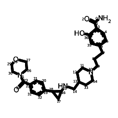 NC(=O)c1ccc(CCCN2CCC(CNC3CC3c3ccc(C(=O)N4CCOCC4)cc3)CC2)cc1O